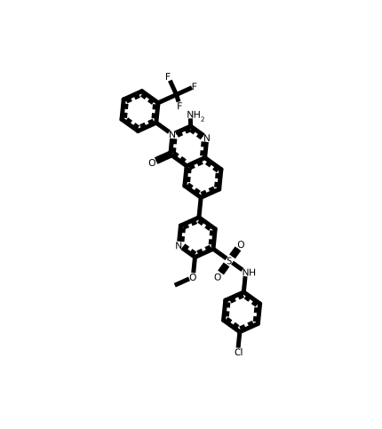 COc1ncc(-c2ccc3nc(N)n(-c4ccccc4C(F)(F)F)c(=O)c3c2)cc1S(=O)(=O)Nc1ccc(Cl)cc1